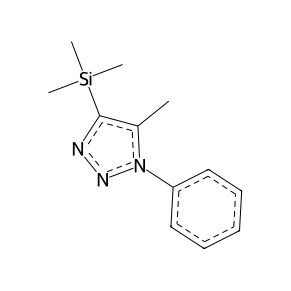 Cc1c([Si](C)(C)C)nnn1-c1ccccc1